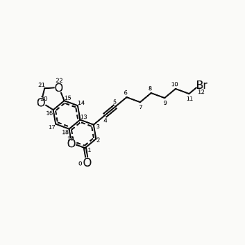 O=c1cc(C#CCCCCCCBr)c2cc3c(cc2o1)OCO3